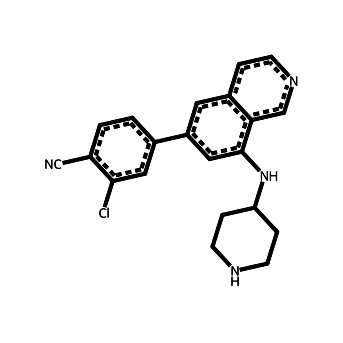 N#Cc1ccc(-c2cc(NC3CCNCC3)c3cnccc3c2)cc1Cl